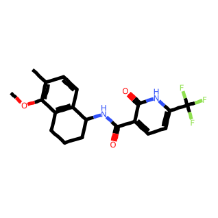 COc1c(C)ccc2c1CCCC2NC(=O)c1ccc(C(F)(F)F)[nH]c1=O